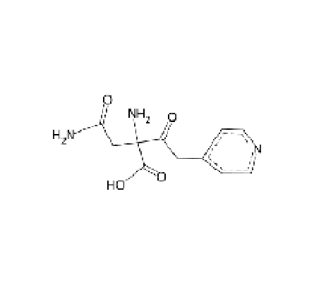 NC(=O)CC(N)(C(=O)O)C(=O)Cc1ccncc1